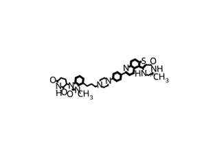 C[C@@H]1CNc2c(sc3ccc4nc(-c5ccc(N6CCN(CCCc7cccc8c7n(C)c(=O)n8C7CCC(=O)NC7=O)CC6)cc5)ccc4c23)C(=O)N1